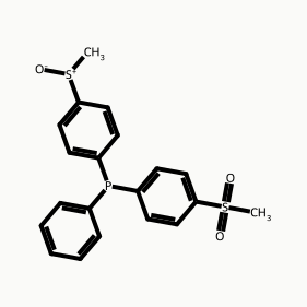 C[S+]([O-])c1ccc(P(c2ccccc2)c2ccc(S(C)(=O)=O)cc2)cc1